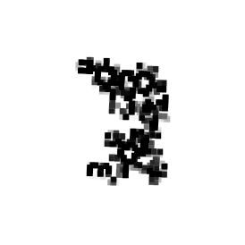 C[C@@]1(c2ccc(Cl)cn2)Oc2ccc(F)c([C@H]3[C@@H]4CN(Cc5nc6c(Cl)cc(C(=O)O)cc6n5C[C@@H]5CCO5)C[C@@H]43)c2O1